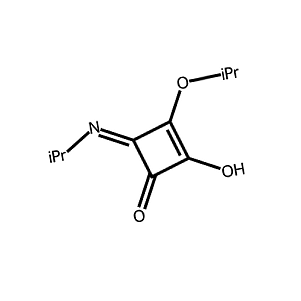 CC(C)/N=c1/c(OC(C)C)c(O)c1=O